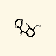 COc1cccc(C(=O)c2cnccn2)c1Br